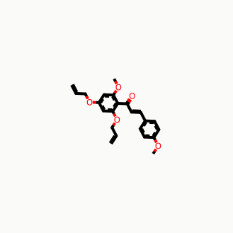 C=CCOc1cc(OC)c(C(=O)/C=C/c2ccc(OC)cc2)c(OCC=C)c1